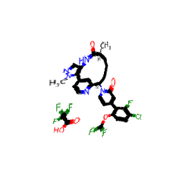 C[C@@H]1CCC[C@H](n2ccc(-c3c(OC(F)F)ccc(Cl)c3F)cc2=O)c2cc(ccn2)-c2c(cnn2C)NC1=O.O=C(O)C(F)(F)F